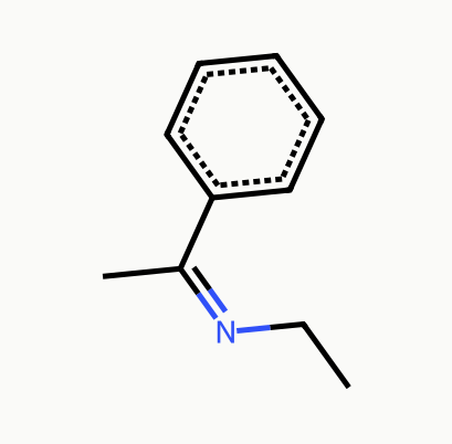 CC/N=C(/C)c1ccccc1